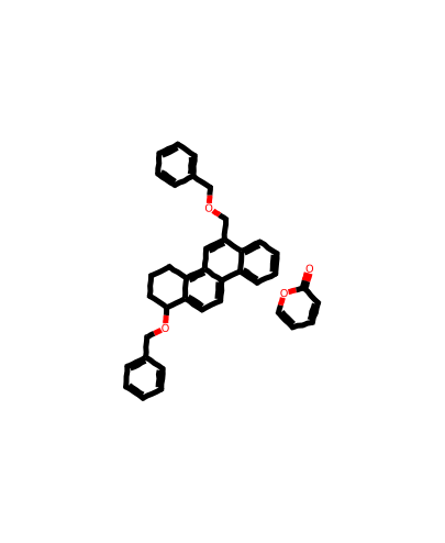 O=c1cccco1.c1ccc(COCc2cc3c4c(ccc3c3ccccc23)C(OCc2ccccc2)CCC4)cc1